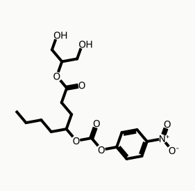 CCCCC(CCC(=O)OC(CO)CO)OC(=O)Oc1ccc([N+](=O)[O-])cc1